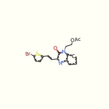 CC(=O)OCCn1c(=O)c(/C=C/c2ccc(Br)s2)nc2ccccc21